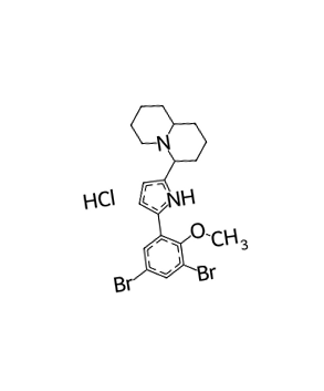 COc1c(Br)cc(Br)cc1-c1ccc(C2CCCC3CCCCN32)[nH]1.Cl